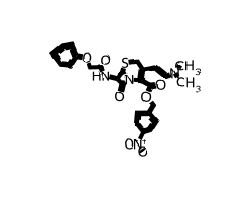 CN(C)C=CC1=C(C(=O)OCc2ccc([N+](=O)[O-])cc2)N2C(=O)C(NC(=O)COc3ccccc3)C2SC1